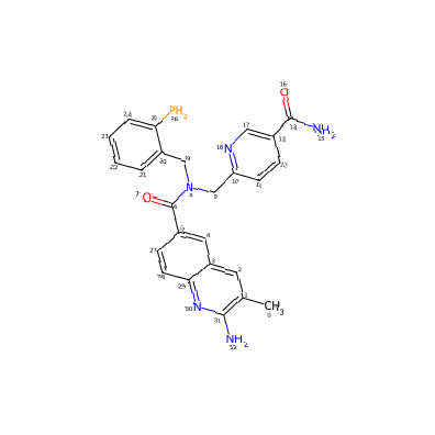 Cc1cc2cc(C(=O)N(Cc3ccc(C(N)=O)cn3)Cc3ccccc3P)ccc2nc1N